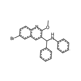 COc1nc2ccc(Br)cc2cc1C(Nc1cc[c]cc1)c1ccccc1